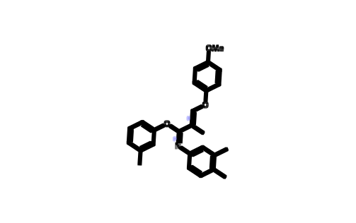 COc1ccc(O/C=C(C)/C(=N\c2ccc(C)c(C)c2)Oc2cccc(C)c2)cc1